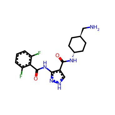 NC[C@H]1CC[C@H](NC(=O)c2c[nH]nc2NC(=O)c2c(F)cccc2F)CC1